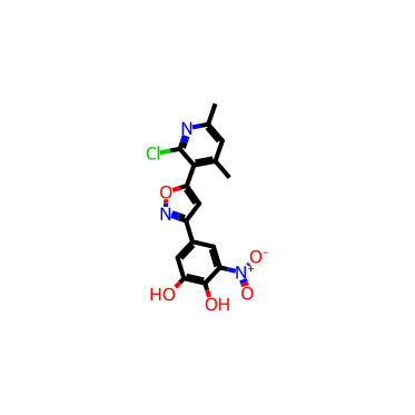 Cc1cc(C)c(-c2cc(-c3cc(O)c(O)c([N+](=O)[O-])c3)no2)c(Cl)n1